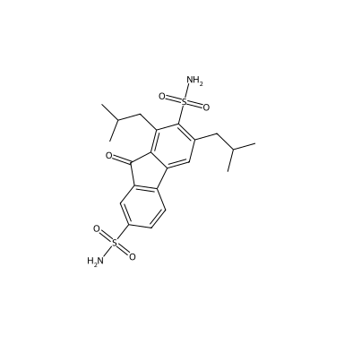 CC(C)Cc1cc2c(c(CC(C)C)c1S(N)(=O)=O)C(=O)c1cc(S(N)(=O)=O)ccc1-2